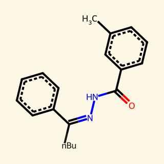 CCCC/C(=N/NC(=O)c1cccc(C)c1)c1ccccc1